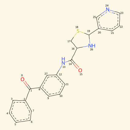 O=C(c1ccccc1)c1cccc(NC(=O)C2CSC(c3cccnc3)N2)c1